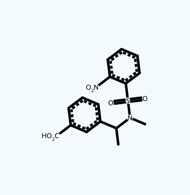 CC(c1cccc(C(=O)O)c1)N(C)S(=O)(=O)c1ccccc1[N+](=O)[O-]